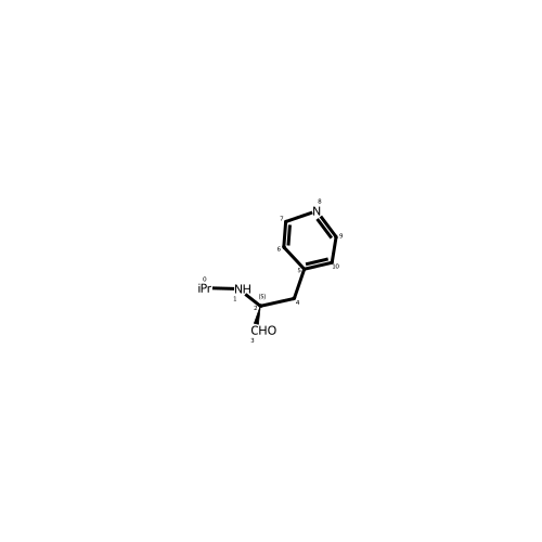 CC(C)N[C@H](C=O)Cc1ccncc1